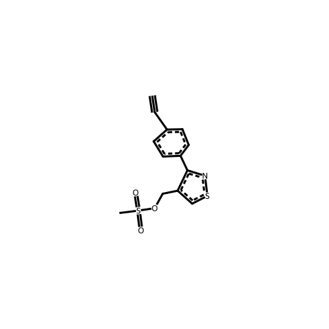 C#Cc1ccc(-c2nscc2COS(C)(=O)=O)cc1